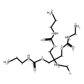 BCCNC(=O)OCC(COC(=O)NCB)(COC(=O)NCCB)NCI